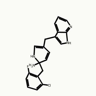 NC1(Cc2c(F)cccc2Cl)C=CC(Cc2c[nH]c3ncccc23)=CN1